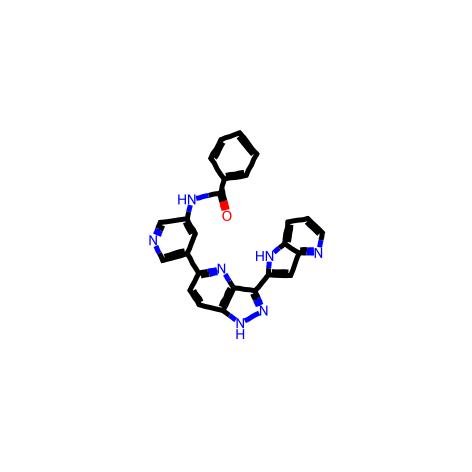 O=C(Nc1cncc(-c2ccc3[nH]nc(-c4cc5ncccc5[nH]4)c3n2)c1)c1ccccc1